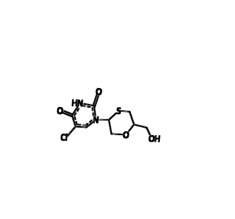 O=c1[nH]c(=O)n(C2COC(CO)CS2)cc1Cl